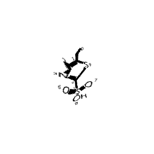 Cc1cnc(S(=O)(=O)O)s1